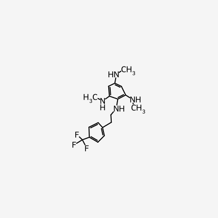 CNc1cc(NC)c(NCCc2ccc(C(F)(F)F)cc2)c(NC)c1